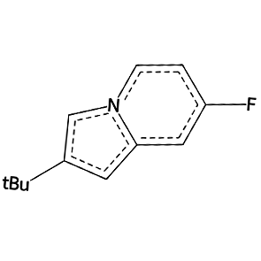 CC(C)(C)c1cc2cc(F)ccn2c1